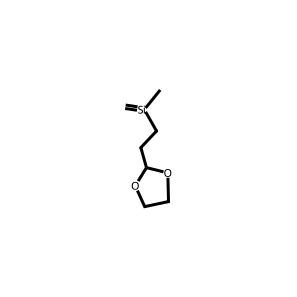 C=[Si](C)CCC1OCCO1